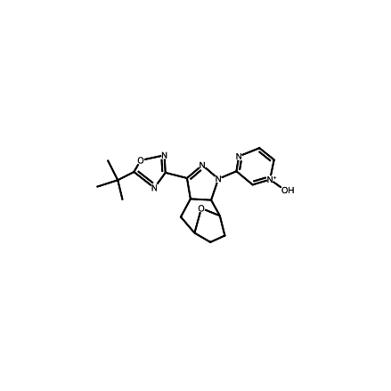 CC(C)(C)c1nc(C2=NN(c3c[n+](O)ccn3)C3C4CCC(CC23)O4)no1